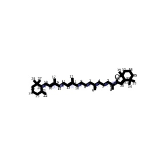 CC(/C=C/C=C(C)/C=C/C=C/C(C)=C/C=C/C(C)=C/C=C1\C(C)CCCC1(C)C)=C1\C=C2C(C)(C)CCCC2(C)O1